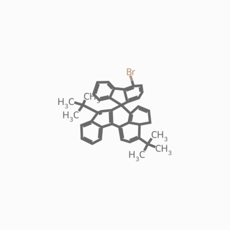 CC(C)(C)C1=CC=C2C3=C(C=CCC13)C1(c3ccccc3-c3c(Br)cccc31)c1cc(C(C)(C)C)c3ccccc3c12